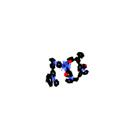 c1ccc(-c2cc(-c3ccccc3)cc(-c3cccc(-c4nc(-c5ccc(-n6c7ccccc7c7ccc(-c8ccc9c(c8)c8ccccc8n9-c8ccccc8)cc76)cc5)nc(-c5ccc(-n6c7ccccc7c7ccc(-c8ccc9c(c8)c8ccccc8n9-c8ccccc8)cc76)cc5)n4)c3)c2)cc1